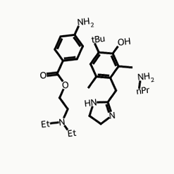 CCCN.CCN(CC)CCOC(=O)c1ccc(N)cc1.Cc1cc(C(C)(C)C)c(O)c(C)c1CC1=NCCN1